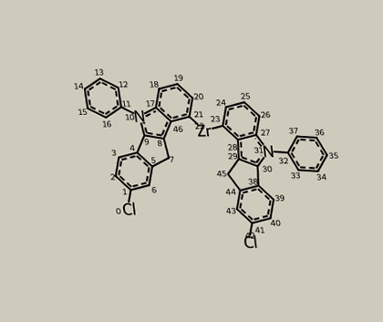 Clc1ccc2c(c1)Cc1c-2n(-c2ccccc2)c2ccc[c]([Zr][c]3cccc4c3c3c(n4-c4ccccc4)-c4ccc(Cl)cc4C3)c12